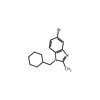 Cc1nc2cc(Br)ccc2n1CC1CCCCC1